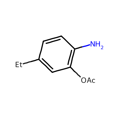 CCc1ccc(N)c(OC(C)=O)c1